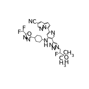 CC(C)(O)C(F)Cn1cc(-c2cnc(-c3ccc4cc(C#N)cnn34)cc2NC2CCC(c3nnc(C(F)F)o3)CC2)nn1